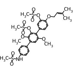 COc1cc(-c2ccc(NS(C)(=O)=O)cc2)c(OC)c(OS(C)(=O)=O)c1-c1ccc(OCC=C(C)C)c(OS(C)(=O)=O)c1